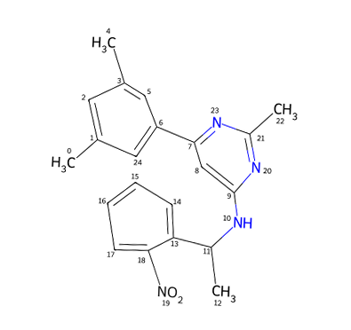 Cc1cc(C)cc(-c2cc(NC(C)c3ccccc3[N+](=O)[O-])nc(C)n2)c1